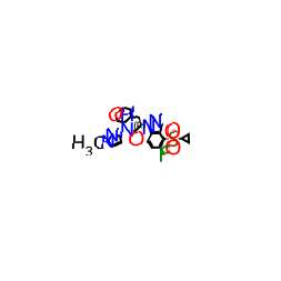 Cn1ccc(NC(=O)[C@@H](CC2CCOCC2)n2ncc3c(S(=O)(=O)C4CC4)c(F)ccc32)n1